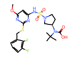 COc1cc(NS(=O)(=O)N2CC[C@@H](N(C(=O)O)C(C)(C)C)C2)nc(SCc2cccc(F)c2F)n1